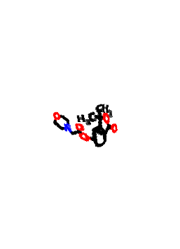 CC1(C)OC(=O)C2C3CC(OC(=O)CN4CCOCC4)C(C3)C21